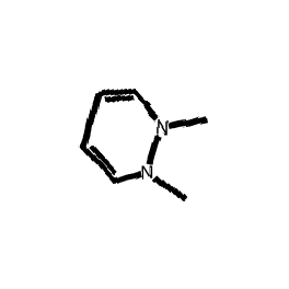 CN1C=CC=CN1C